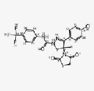 CC1(N2C(=O)CCC2=O)CN(C(=O)Nc2ccc(C(F)(F)F)cc2)N=C1c1ccc(Cl)cc1